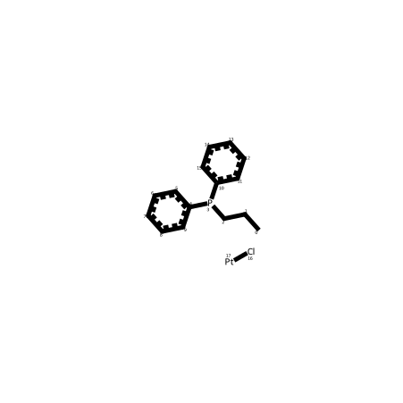 CCCP(c1ccccc1)c1ccccc1.[Cl][Pt]